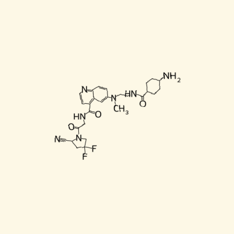 CN(CCNC(=O)C1CCC(N)CC1)c1ccc2nccc(C(=O)NCC(=O)N3CC(F)(F)CC3C#N)c2c1